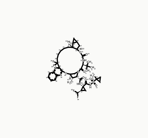 C[C@@H]1[C@@H]2CN(C(=O)[C@H](C(C)(C)C)NC(=O)O[C@@H]3CC4C[C@@H]4[C@H]3CCCCCC(F)(F)c3nc4ccccc4nc3O2)[C@@H]1C(=O)N[C@]1(C(=O)NS(=O)(=O)C2(C)CC2)C[C@H]1C(F)F